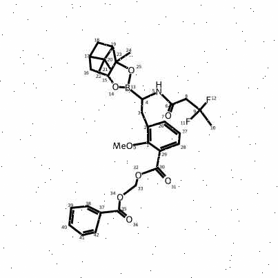 COc1c(CC(NC(=O)CC(C)(F)F)B2OC3CC4CC(C4(C)C)C3(C)O2)cccc1C(=O)OCOC(=O)c1ccccc1